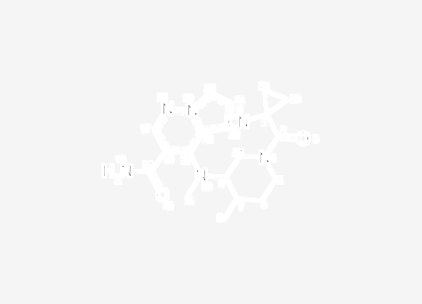 [C-]#[N+]C1(C(=O)N2CCC(C)C(N(C)c3c(C(N)=O)cnn4cccc34)C2)CC1